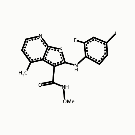 CONC(=O)c1c(Nc2ccc(I)cc2F)sc2nccc(C)c12